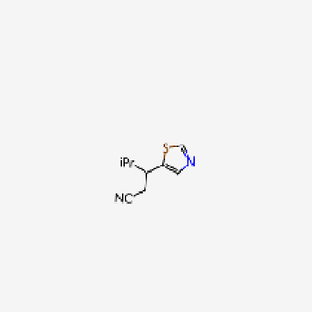 CC(C)C(CC#N)c1cncs1